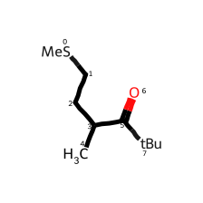 CSCCC(C)C(=O)C(C)(C)C